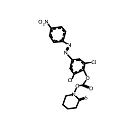 O=C(Oc1c(Cl)cc(/N=N/c2ccc([N+](=O)[O-])cc2)cc1Cl)ON1CCCCC1=S